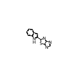 C1=NC2=NC(c3cc4ccccc4[nH]3)SC2=N1